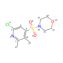 Cc1nc(Cl)cc(S(=O)(=O)N2CCOCC2)c1C